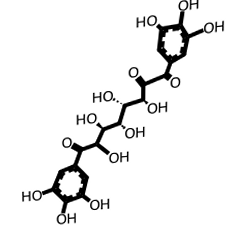 O=C(C(=O)[C@H](O)[C@@H](O)[C@H](O)[C@H](O)C(O)C(=O)c1cc(O)c(O)c(O)c1)c1cc(O)c(O)c(O)c1